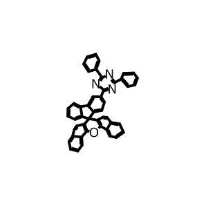 c1ccc(-c2nc(-c3ccccc3)nc(-c3ccc4c(c3)-c3ccccc3C43c4ccc5ccccc5c4Oc4c3ccc3ccccc43)n2)cc1